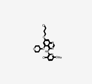 COc1ccc(Cl)c(Nc2ncnc3cc(OCCCCl)cc(OC4CCOCC4)c23)n1